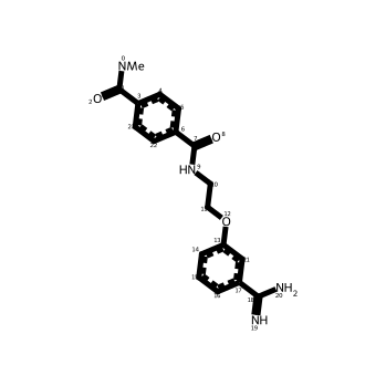 CNC(=O)c1ccc(C(=O)NCCOc2cccc(C(=N)N)c2)cc1